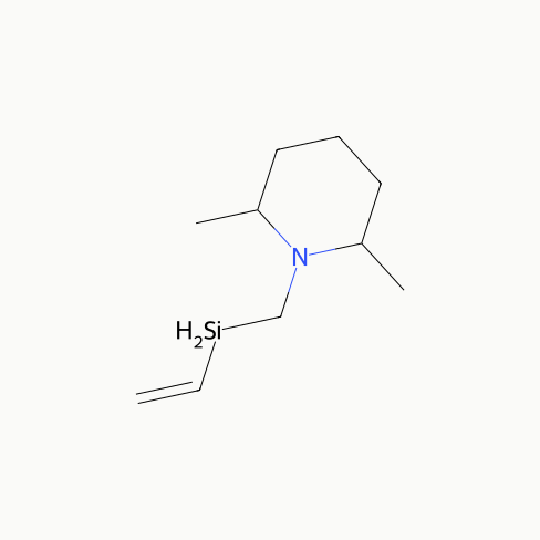 C=C[SiH2]CN1C(C)CCCC1C